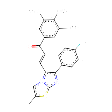 COc1cc(C(=O)C=Cc2c(-c3ccc(F)cc3)nc3sc(C)cn23)cc(OC)c1OC